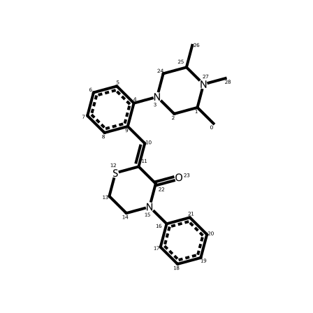 CC1CN(c2ccccc2C=C2SCCN(c3ccccc3)C2=O)CC(C)N1C